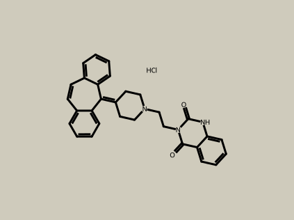 Cl.O=c1[nH]c2ccccc2c(=O)n1CCN1CCC(=C2c3ccccc3C=Cc3ccccc32)CC1